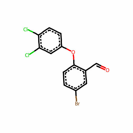 O=Cc1cc(Br)ccc1Oc1ccc(Cl)c(Cl)c1